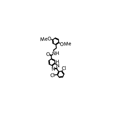 COc1ccc(OC)c(CCNC(=O)c2ccc3nc(-c4c(Cl)cccc4Cl)[nH]c3c2)c1